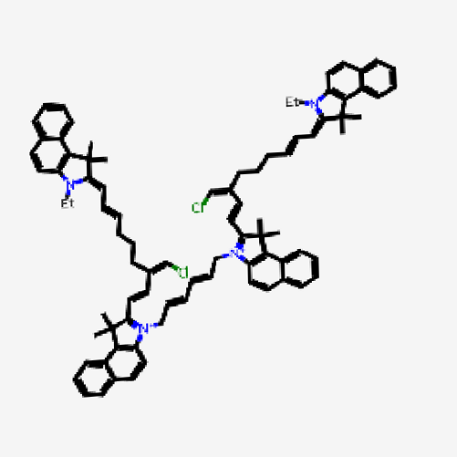 CCN1C(=CC=CCCC/C(C=CC2=[N+](CC=CC=CC[N+]3=C(C=C/C(=C\Cl)CCCC=CC=C4N(CC)c5ccc6ccccc6c5C4(C)C)C(C)(C)c4c3ccc3ccccc43)c3ccc4ccccc4c3C2(C)C)=C/Cl)C(C)(C)c2c1ccc1ccccc21